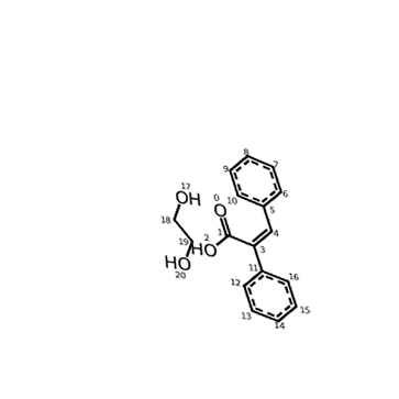 O=C(O)C(=Cc1ccccc1)c1ccccc1.OCCO